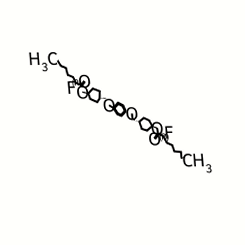 CCCCCC[C@@H](F)C(=O)O[C@H]1CC[C@H](COc2ccc(OC[C@H]3CC[C@H](OC(=O)[C@H](F)CCCCCC)CC3)cc2)CC1